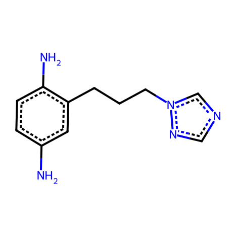 Nc1ccc(N)c(CCCn2cncn2)c1